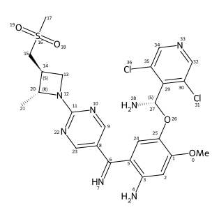 COc1cc(N)c(C(=N)c2cnc(N3C[C@H](CS(C)(=O)=O)[C@H]3C)nc2)cc1O[C@H](N)c1c(Cl)cncc1Cl